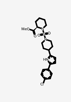 COC(=O)[C@H]1CCCCN1S(=O)(=O)N1CCC(c2ccc(-c3ccc(Cl)cc3)[nH]2)CC1